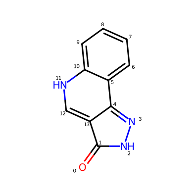 O=c1[nH]nc2c3ccccc3[nH]cc1-2